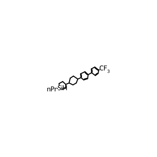 CCC[SiH]1CCC(C2CCC(c3ccc(-c4ccc(C(F)(F)F)cc4)cc3)CC2)CC1